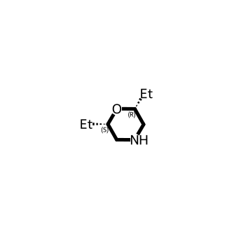 CC[C@@H]1CNC[C@H](CC)O1